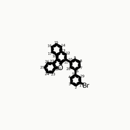 Brc1cccc(-c2cccc(-c3cc4ccccc4c4c3oc3ccccc34)c2)c1